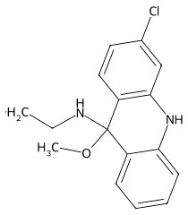 [CH2]CNC1(OC)c2ccccc2Nc2cc(Cl)ccc21